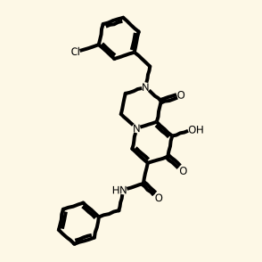 O=C(NCc1ccccc1)c1cn2c(c(O)c1=O)C(=O)N(Cc1cccc(Cl)c1)CC2